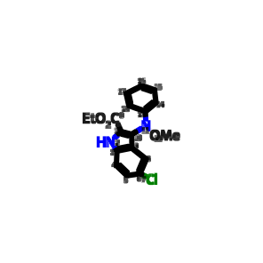 CCOC(=O)c1[nH]c2ccc(Cl)cc2c1N(OC)c1ccccc1